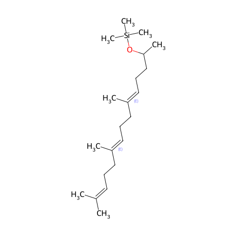 CC(C)=CCC/C(C)=C/CC/C(C)=C/CCC(C)O[Si](C)(C)C